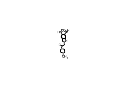 CN1CCN(C(=O)Cn2cc3cc(NC(=O)O)c(Br)cc3n2)CC1